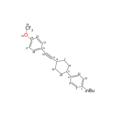 CCCCc1ccc(C2CCC(C#Cc3ccc(OC(F)(F)F)cc3)CC2)cc1